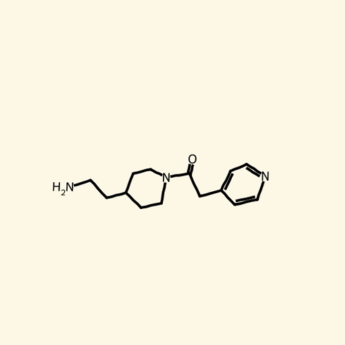 NCCC1CCN(C(=O)Cc2ccncc2)CC1